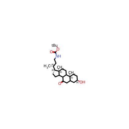 C[C@H](CCNC(=O)OC(C)(C)C)[C@H]1CCC2C3C(=O)CC4C[C@H](O)CC[C@]4(C)C3CC[C@@]21C